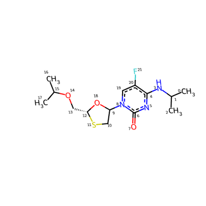 CC(C)Nc1nc(=O)n(C2CS[C@H](COC(C)C)O2)cc1F